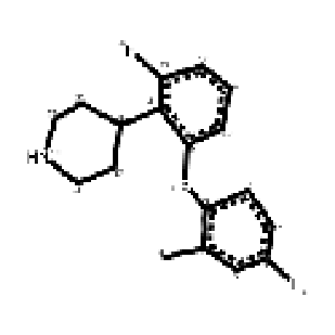 Cc1cc(F)ccc1Sc1cccc(F)c1C1CCNCC1